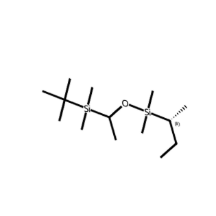 CC[C@@H](C)[Si](C)(C)OC(C)[Si](C)(C)C(C)(C)C